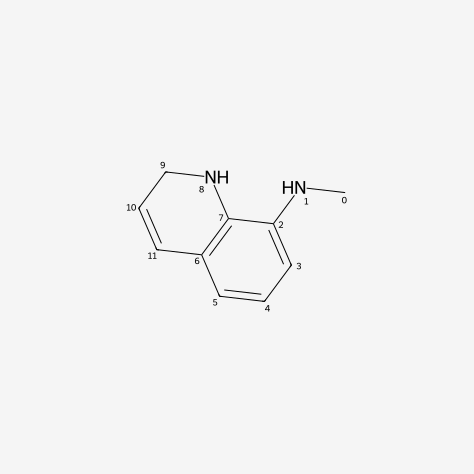 CNc1cccc2c1NCC=C2